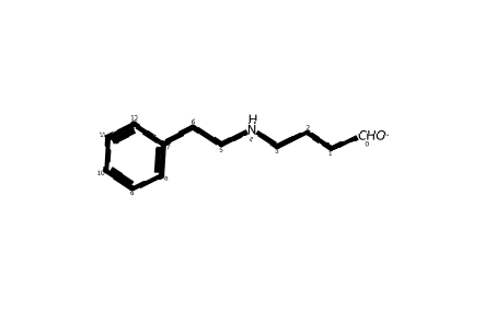 O=[C]CCCNCCc1ccccc1